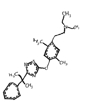 CCN(C)CCc1cc(C)c(Oc2nc(C(C)(C)c3ccccc3)ns2)cc1C